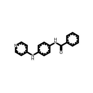 O=C(Nc1ccc(Nc2ccncc2)cc1)c1ccccc1